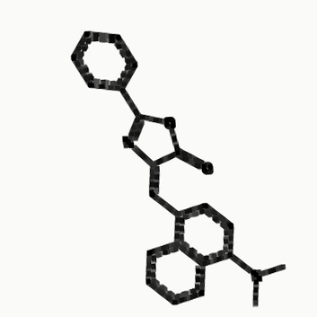 CN(C)c1ccc(C=C2N=C(c3ccccc3)OC2=O)c2ccccc12